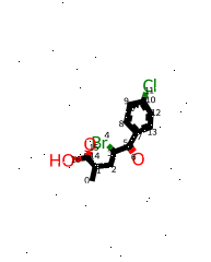 CC(CC(Br)C(=O)c1ccc(Cl)cc1)C(=O)O